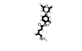 CC(CN)CCC(=O)NC1=CC=C(N2CC(C)OC(C)C2)CC1F